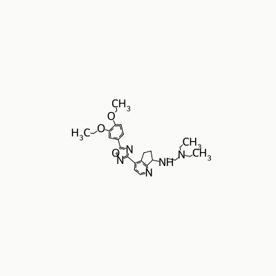 CCOc1ccc(-c2nc(-c3ccnc4c3CCC4NCCN(CC)CC)no2)cc1OCC